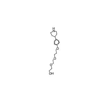 OCCOCCOCCCOc1ccc(C2CCNCC2)cc1